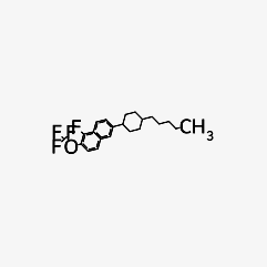 CCCCCC1CCC(c2ccc3c(F)c(OC(F)(F)F)ccc3c2)CC1